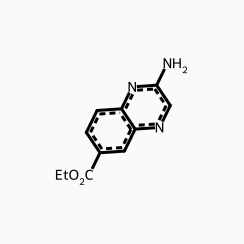 CCOC(=O)c1ccc2nc(N)cnc2c1